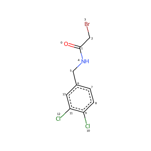 O=C(CBr)NCc1ccc(Cl)c(Cl)c1